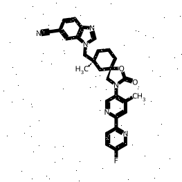 Cc1cc(-c2ccc(F)cn2)ncc1N1C[C@@]2(CCC[C@](C)(Cn3cnc4ccc(C#N)cc43)C2)OC1=O